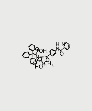 C[C@@H](O)[C@H]1C(=O)N(C(C(=O)O)=P(c2ccccc2)(c2ccccc2)c2ccccc2)[C@@H]1CC(=O)c1ccc(NC(=O)c2ccccn2)cc1